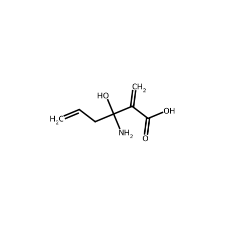 C=CCC(N)(O)C(=C)C(=O)O